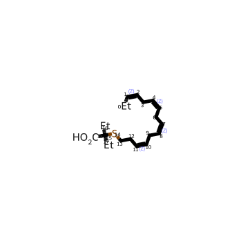 CC/C=C\C/C=C\C/C=C\C/C=C\CCSC(CC)(CC)C(=O)O